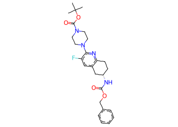 CC(C)(C)OC(=O)N1CCN(c2nc3c(cc2F)C[C@@H](NC(=O)OCc2ccccc2)CC3)CC1